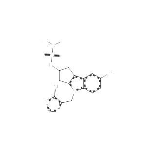 CN(C)S(=O)(=O)NC1Cc2c(n(Cc3scnc3N)c3ccc(C#N)cc23)C1